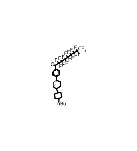 CCCCC1CCC(C2CCC(c3ccc(C(=O)C(F)(F)C(F)(F)C(F)(F)C(F)(F)C(F)(F)C(F)(F)C(F)(F)C(F)(F)F)cc3)CC2)CC1